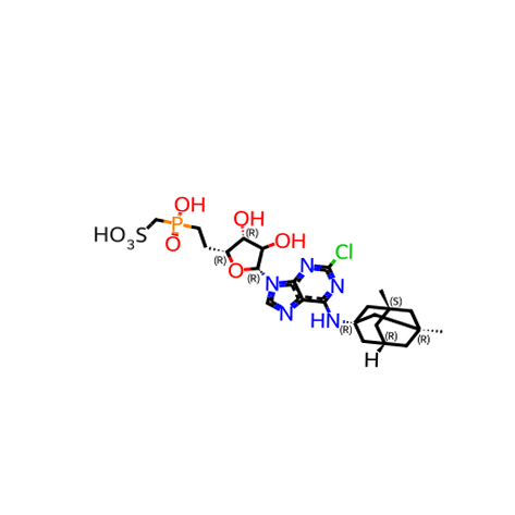 C[C@]12C[C@@H]3C[C@](C)(C1)C[C@@](Nc1nc(Cl)nc4c1ncn4[C@@H]1O[C@H](CCP(=O)(O)CS(=O)(=O)O)[C@H](O)C1O)(C3)C2